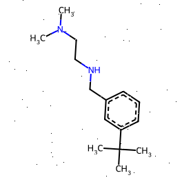 CN(C)CCNCc1cccc(C(C)(C)C)c1